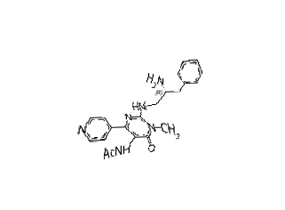 CC(=O)Nc1c(-c2ccncc2)nc(NC[C@H](N)Cc2ccccc2)n(C)c1=O